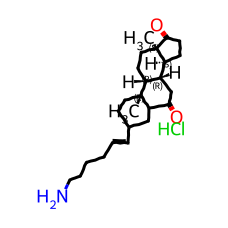 C[C@]12CCC(C=CCCCCN)CC1C(=O)C[C@@H]1[C@H]2CC[C@]2(C)C(=O)CC[C@@H]12.Cl